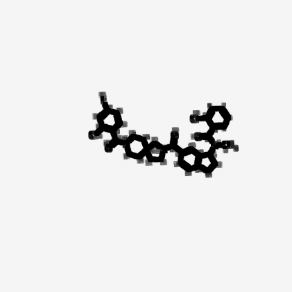 CN(C(=O)c1ccccc1Cl)C1CCc2ccc(C(=O)N3CCC4(CCN(C(=O)c5ccc(F)cc5Cl)CC4)C3)cc21